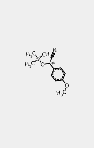 COc1ccc([C@H](C#N)O[Si](C)(C)C)cc1